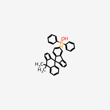 CC1(C)c2ccccc2C2(c3ccccc3-c3cc([PH](O)(c4ccccc4)c4ccccc4)ccc32)c2ccccc21